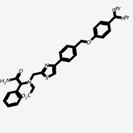 CCCC(CCC)c1ccc(OCc2ccc(-c3csc(CN(CC(=O)O)C(C(N)=O)c4ccccc4)n3)cc2)cc1